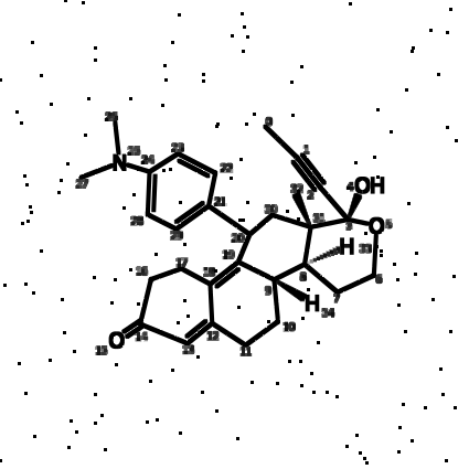 CC#C[C@]1(O)OCC[C@H]2[C@@H]3CCC4=CC(=O)CCC4=C3C(c3ccc(N(C)C)cc3)C[C@@]21C